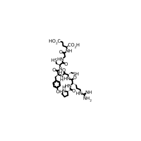 N=C(N)NCCC[C@H](NC(=O)[C@@H]1CCCN1)C(=O)N[C@@H](CS)C(=O)N[C@@H](Cc1ccc(O)cc1)C(=O)N[C@@H](CS)C(=O)NCC(=O)N[C@@H](CCC(=O)O)C(=O)O